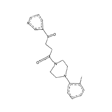 Cc1ccccc1N1CCN(C(=O)CCC(=O)c2cccnc2)CC1